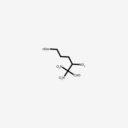 CCCCCCCCCCCCCC([N+](=O)[O-])C([C]=O)([N+](=O)[O-])[N+](=O)[O-]